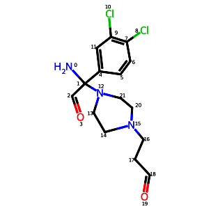 NC(C=O)(c1ccc(Cl)c(Cl)c1)N1CCN(CCC=O)CC1